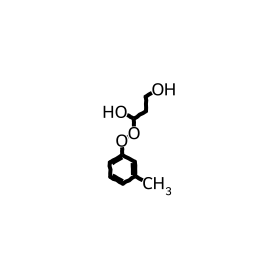 Cc1cccc(OOC(O)CCO)c1